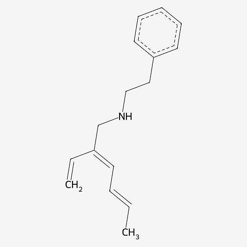 C=CC(=CC=CC)CNCCc1ccccc1